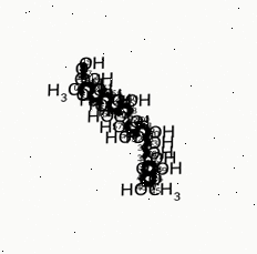 C[C@@H]1O[C@@H]2C[C@@H]3O[C@H]4[C@H](C[C@H]3O[C@H]2[C@@H](O)[C@H]1OSOO)O[C@@H]1C(OC([C@@H]2O[C@H]3C[C@@H](O)[C@H]([C@H](O)C[C@@H](O)C[C@@H]5OC6C[C@@H](O)[C@H](C)OC6C(O)[C@H]5O)O[C@H]3[C@H](O)[C@H]2O)C[C@H]1O)[C@@H]4O